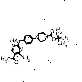 CC(=O)c1cnc([AsH]c2ccc(N3CCN(C(=O)OC(C)(C)C)CC3)cc2)nc1N